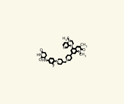 Cc1cc2c(N3CCN(C)c4ccncc43)cc(C3CCN(CC4CCN(c5ccc(NC6CCC(=O)NC6=O)cc5F)CC4)CC3)cc2n(C)c1=O